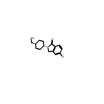 NC[C@H]1CC[C@H](N2Cc3cc(Cl)ccc3C2=O)CC1